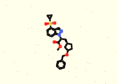 COC(=O)C(C[C@H]1CCC(OCc2ccccc2)C1)n1ncc2c(S(=O)(=O)C3CC3)cccc21